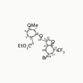 CCOC(=O)Cc1ccc(OC)cc1OCc1coc2c(C(F)(F)F)cc(Br)cc12